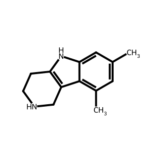 Cc1cc(C)c2c3c([nH]c2c1)CCNC3